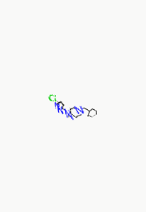 CN(c1ccc(Cl)nn1)C1CCN(CC2CCCCC2)CC1